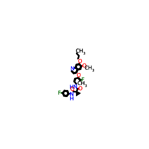 CCCCOc1cc2nccc(OC(/C=C\CNC(=O)C3(C(=O)Nc4ccc(F)cc4)CC3)=C(/C)F)c2cc1OC